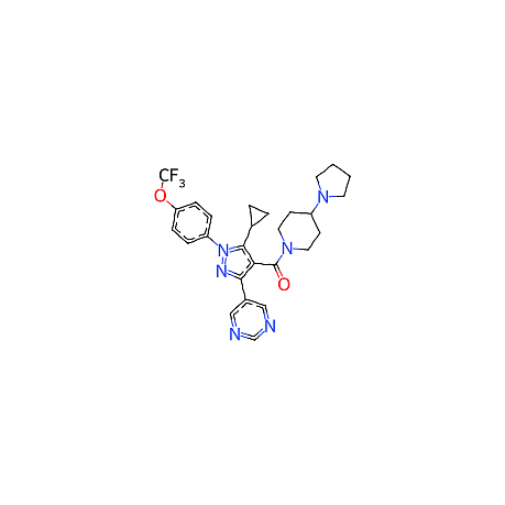 O=C(c1c(-c2cncnc2)nn(-c2ccc(OC(F)(F)F)cc2)c1C1CC1)N1CCC(N2CCCC2)CC1